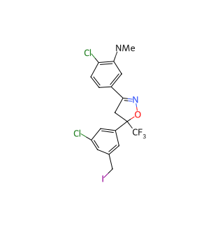 CNc1cc(C2=NOC(c3cc(Cl)cc(CI)c3)(C(F)(F)F)C2)ccc1Cl